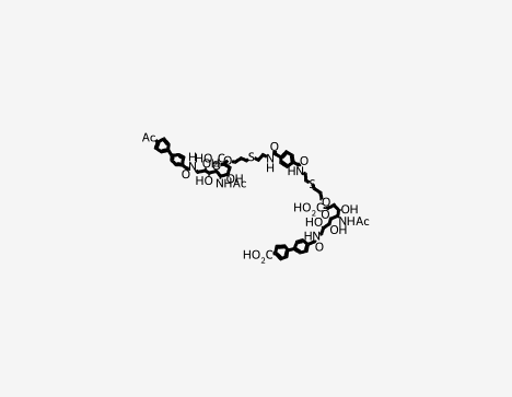 CC(=O)N[C@H]1[C@H]([C@H](O)[C@H](O)CNC(=O)c2ccc(-c3ccc(C(C)=O)cc3)cc2)O[C@@](OCCCSCCNC(=O)c2ccc(C(=O)NCCSCCCO[C@]3(C(=O)O)C[C@H](O)[C@@H](NC(C)=O)[C@H]([C@H](O)[C@H](O)CNC(=O)c4ccc(-c5ccc(C(=O)O)cc5)cc4)O3)cc2)(C(=O)O)C[C@@H]1O